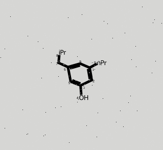 CCCc1cc(O)cc(CC(C)C)c1